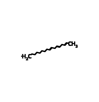 [CH2]CCCCCCCC=CCC=CCC=CC